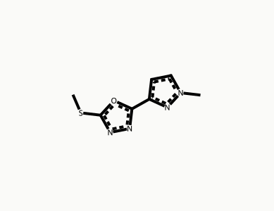 CSc1nnc(-c2ccn(C)n2)o1